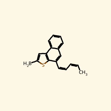 Bc1cc2c(s1)c(/C=C\C=C/C)cc1ccccc12